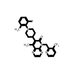 Cc1cccc(F)c1N1CCC(c2c(C)c3nccnc3n(Cc3ncccc3C(F)(F)F)c2=O)CC1